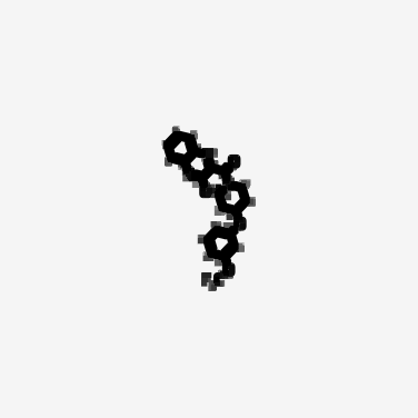 O=C(c1nc2ccccc2nc1O)N1CCC(Oc2cccc(OC(F)(F)F)c2)CC1